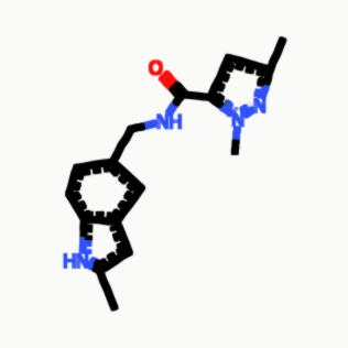 Cc1cc(C(=O)NCc2ccc3[nH]c(C)cc3c2)n(C)n1